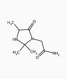 CC1NC(C)(C)N(CC(N)=O)C1=O